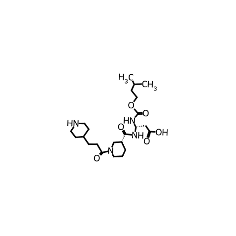 CC(C)CCOC(=O)N[C@H](CC(=O)O)NC(=O)[C@@H]1CCCN(C(=O)CCC2CCNCC2)C1